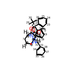 CCOC(=O)N1[C@H]2C[C@@H]3C[C@H]1[C@@H]([C@H]2O[Si](c1ccccc1)(c1ccccc1)C(C)(C)C)N(Cc1ccccc1)C3